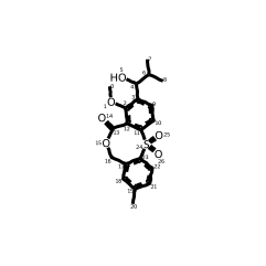 COc1c(C(O)C(C)C)ccc2c1C(=O)OCc1cc(C)ccc1S2(=O)=O